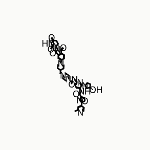 Cc1cc(-c2nc(C(=O)Nc3cc4oc(N5CCN(CC6CCN(c7ccc8c(c7)C(=O)N(N7CCC(=O)NC7=O)C8=O)CC6)CC5)nc4nc3N3CC[C@@H](O)C3)co2)ccn1